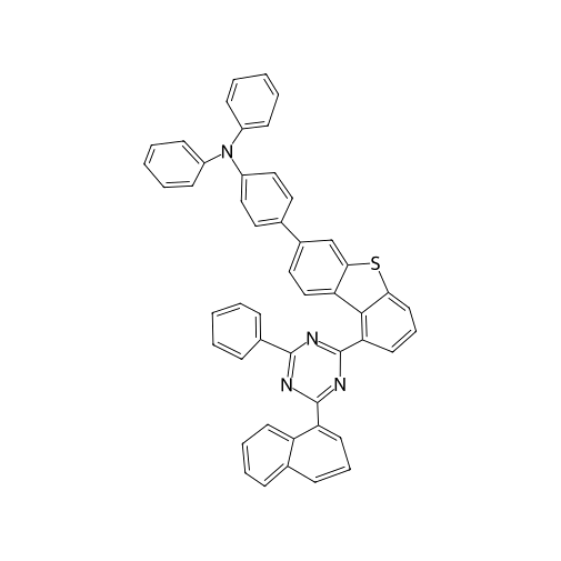 c1ccc(-c2nc(-c3cccc4ccccc34)nc(-c3cccc4sc5cc(-c6ccc(N(c7ccccc7)c7ccccc7)cc6)ccc5c34)n2)cc1